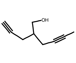 C#CCC(CO)CC#CC